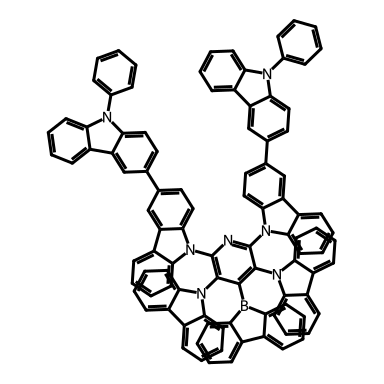 c1ccc(-n2c3ccccc3c3cc(-c4ccc5c(c4)c4ccccc4n5-c4nc(-n5c6ccccc6c6cc(-c7ccc8c(c7)c7ccccc7n8-c7ccccc7)ccc65)c(-n5c6ccccc6c6ccccc65)c(B5c6ccccc6-c6ccccc65)c4-n4c5ccccc5c5ccccc54)ccc32)cc1